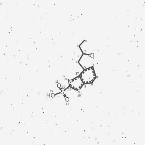 CCC(Cl)Cc1cccc2sc(S(=O)(=O)O)nc12